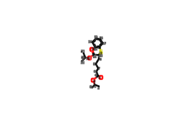 CC(C)OC(=O)CCCCC(Sc1ccccc1)C(=O)OC(C)C